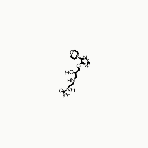 CC(C)C(=O)NCCNCC(O)COc1nsnc1N1CCOCC1